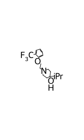 CC(C)C1(O)CCN(CCOc2ccccc2C(F)(F)F)CC1